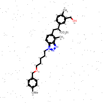 CCOC(=O)C(Cc1ccc2c(nnn2CCCCCOCc2ccc(OC)cc2)c1C)c1ccc(C)c(CO)c1